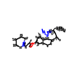 CC(C1CCc2cc(OCCN3CCCCC3)ccc2C1)C(N)C(C)(C)C